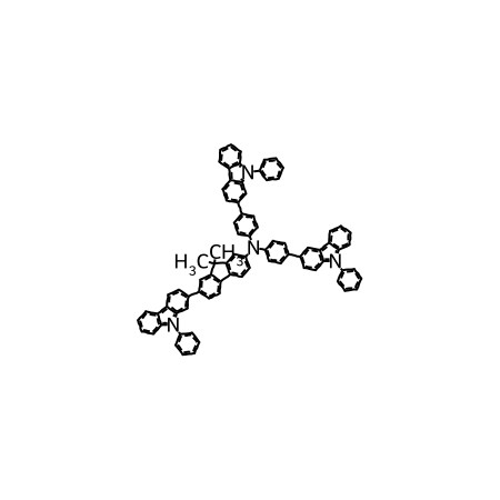 CC1(C)c2cc(-c3ccc4c5ccccc5n(-c5ccccc5)c4c3)ccc2-c2ccc(N(c3ccc(-c4ccc5c(c4)c4ccccc4n5-c4ccccc4)cc3)c3ccc(-c4ccc5c6ccccc6n(-c6ccccc6)c5c4)cc3)cc21